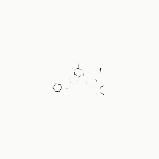 C=CC(=O)N1CCN(c2nc(OC)nc3c2CN(Cc2cc(F)ccc2Cl)C3)C[C@@H]1CC#N